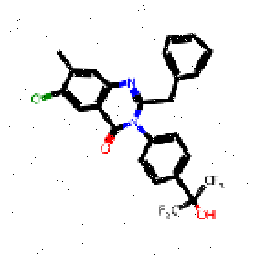 Cc1cc2nc(Cc3ccccc3)n(-c3ccc(C(O)(C(F)(F)F)C(F)(F)F)cc3)c(=O)c2cc1Cl